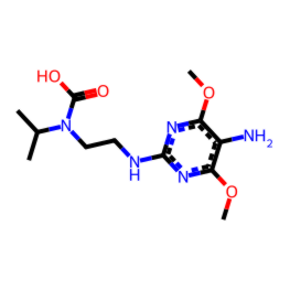 COc1nc(NCCN(C(=O)O)C(C)C)nc(OC)c1N